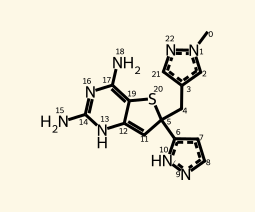 Cn1cc(CC2(c3ccn[nH]3)C=C3NC(N)=NC(N)=C3S2)cn1